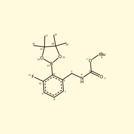 CC(C)(C)OC(=O)NCc1cccc(F)c1B1OC(C)(C)C(C)(C)O1